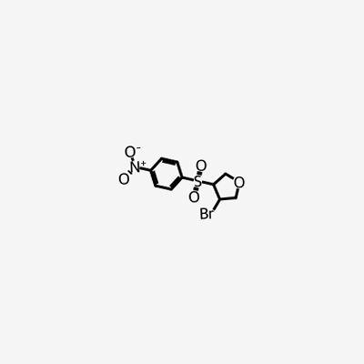 O=[N+]([O-])c1ccc(S(=O)(=O)C2COCC2Br)cc1